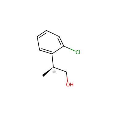 C[C@H](CO)c1ccccc1Cl